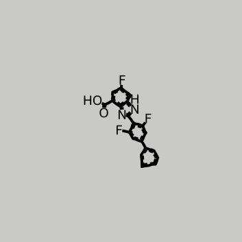 O=C(O)c1cc(F)cc2[nH]c(-c3c(F)cc(-c4ccccc4)cc3F)nc12